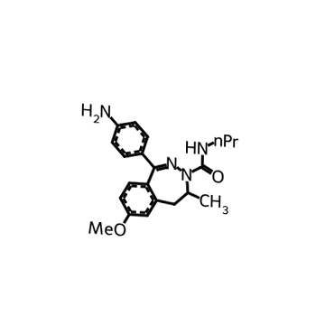 CCCNC(=O)N1N=C(c2ccc(N)cc2)c2ccc(OC)cc2CC1C